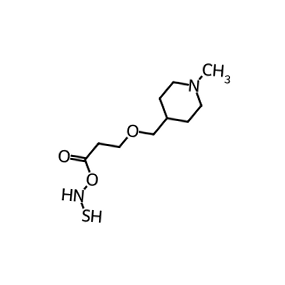 CN1CCC(COCCC(=O)ONS)CC1